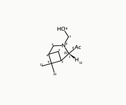 CC(=O)[C@@H]1C2CC(CN1CO)C2(C)C